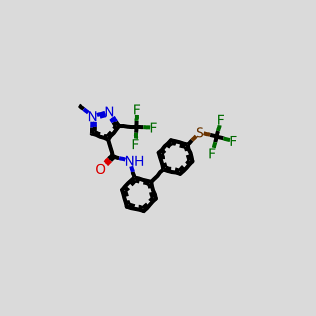 Cn1cc(C(=O)Nc2ccccc2-c2ccc(SC(F)(F)F)cc2)c(C(F)(F)F)n1